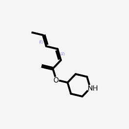 C=C(/C=C\C=C\C)OC1CCNCC1